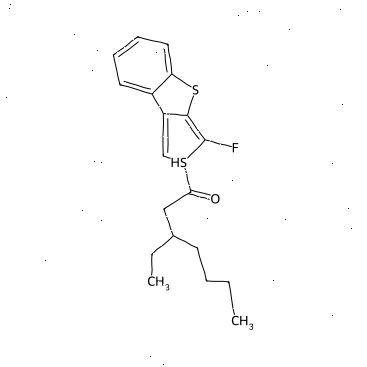 CCCCC(CC)CC(=O)[SH]1C=c2c(sc3ccccc23)=C1F